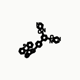 c1ccc2c(c1)Sc1ccccc1C21c2ccccc2-c2ccc(-c3ccc(-c4cc(-c5nc6ccncc6o5)cc(-c5nc6ccncc6o5)c4)cc3)cc21